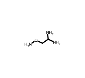 NOCC(N)N